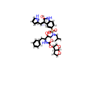 CC(C)CN(CC(O)C(Cc1ccccc1)NC(=O)OC1COC2OCCC12)S(=O)(=O)c1ccc2c(c1)/C(=C/c1ccc[nH]1)C(=O)N2